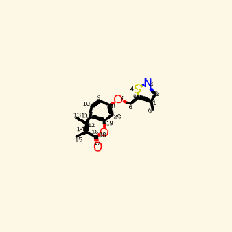 Cc1cnsc1COc1ccc2c(C)c(C)c(=O)oc2c1